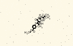 CCOC(=O)c1ccc(Sc2c(C)[nH]c3[nH]c(NC(=O)C(C)(C)C)nc(=O)c23)cc1